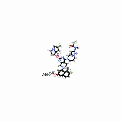 CCc1c(F)ccc2cc(OCOC)cc(N3CCc4c(nc(OC[C@@]56CCCN5C[C@H](F)C6)nc4N4CCCn5nc(N(C)C(=O)C(C)C)cc5C4)C3)c12